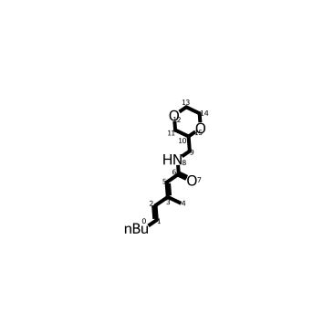 CCCC/C=C/C(C)=C/C(=O)NCC1COCCO1